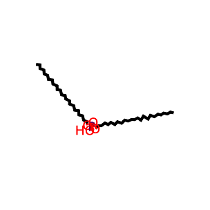 CCCCCCCCCCCCCCCCCCCCCCCCOP(=O)(O)OCCCCCCCCCCCCCCCCCCCCCCCC